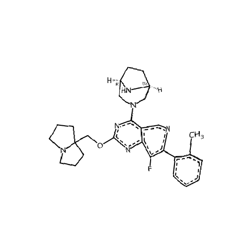 Cc1ccccc1-c1ncc2c(N3C[C@H]4CC[C@@H](C3)N4)nc(OCC34CCCN3CCC4)nc2c1F